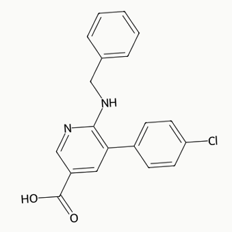 O=C(O)c1cnc(NCc2ccccc2)c(-c2ccc(Cl)cc2)c1